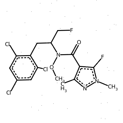 CON(C(=O)c1c(C)nn(C)c1F)C(CF)Cc1c(Cl)cc(Cl)cc1Cl